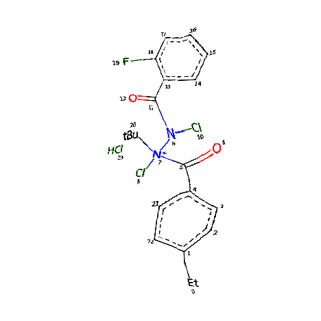 CCc1ccc(C(=O)[N+](Cl)(N(Cl)C(=O)c2ccccc2F)C(C)(C)C)cc1.Cl